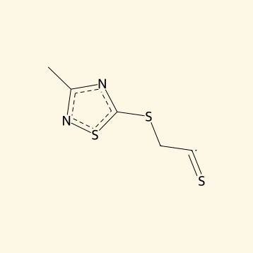 Cc1nsc(SC[C]=S)n1